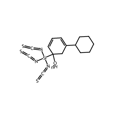 CCCOC1([Si](N=C=S)(N=C=S)N=C=S)C=CC=C(C2CCCCC2)C1